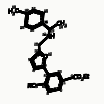 CCOC(=O)c1ccc(C#N)c(-c2ccc(CNC(C)c3ccc(C)cc3)o2)c1